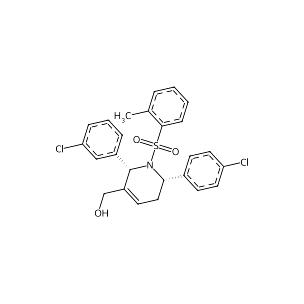 Cc1ccccc1S(=O)(=O)N1[C@@H](c2cccc(Cl)c2)C(CO)=CC[C@H]1c1ccc(Cl)cc1